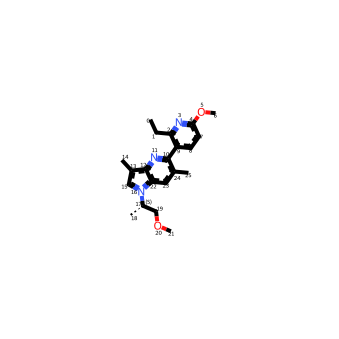 CCc1nc(OC)ccc1-c1nc2c(C)cn([C@@H](C)COC)c2cc1C